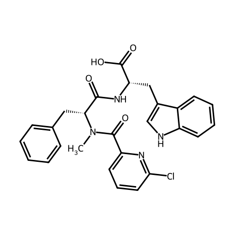 CN(C(=O)c1cccc(Cl)n1)[C@H](Cc1ccccc1)C(=O)N[C@@H](Cc1c[nH]c2ccccc12)C(=O)O